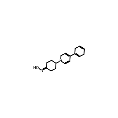 ON=C1CCC(N2C=CC(C3=CCC=CC3)=CC2)CC1